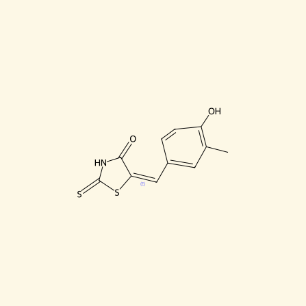 Cc1cc(/C=C2/SC(=S)NC2=O)ccc1O